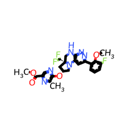 COC(=O)c1cnc(O[C@H]2CN3c4cc(-c5cccc(F)c5OC)nnc4NC[C@]3(C(F)F)C2)c(C)n1